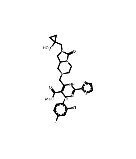 COC(=O)C1=C(CN2CCN3C(=O)N(CC4(C(=O)O)CC4)CC3C2)NC(c2nccs2)=N[C@H]1c1ccc(F)cc1Cl